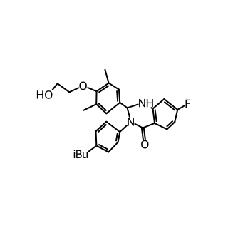 CCC(C)c1ccc(N2C(=O)c3ccc(F)cc3NC2c2cc(C)c(OCCO)c(C)c2)cc1